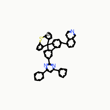 c1ccc(-c2cc(-c3ccccc3)nc(-c3ccc4c(c3)-c3cc(-c5cccc6cnccc56)ccc3C43c4ccccc4Sc4ccccc43)n2)cc1